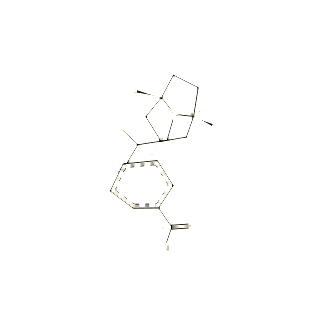 COC(CN1[C@@H]2CC[C@H]1C[C@@H](c1cccc(C(N)=O)c1)C2)OC